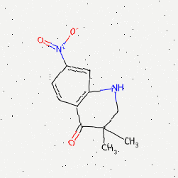 CC1(C)CNc2cc([N+](=O)[O-])ccc2C1=O